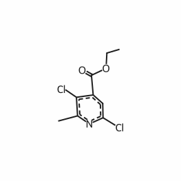 CCOC(=O)c1cc(Cl)nc(C)c1Cl